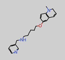 CN1CC=Cc2cc(OCCCCCNCc3cccnc3)ccc21